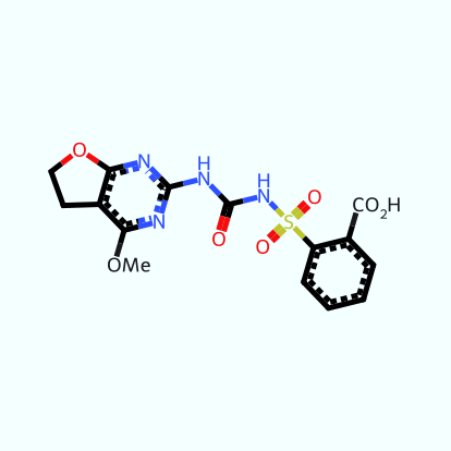 COc1nc(NC(=O)NS(=O)(=O)c2ccccc2C(=O)O)nc2c1CCO2